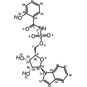 O=C(NS(=O)(=O)OC[C@H]1O[C@@H](n2ccc3ccccc32)[C@H](O)[C@@H]1O)c1ccccc1O